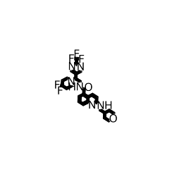 O=C(NCC(c1cnc(C(F)(F)F)nc1)N1CCC(F)(F)CC1)c1cccc2nc(NCC3CCOCC3)ccc12